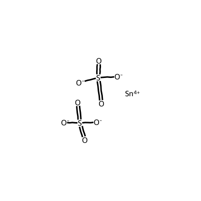 O=S(=O)([O-])[O-].O=S(=O)([O-])[O-].[Sn+4]